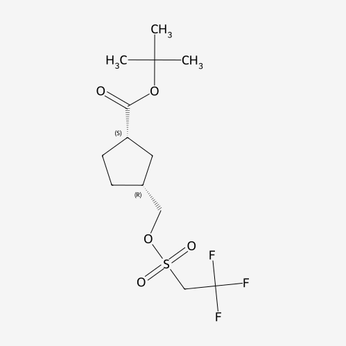 CC(C)(C)OC(=O)[C@H]1CC[C@@H](COS(=O)(=O)CC(F)(F)F)C1